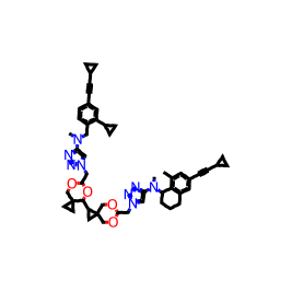 Cc1cc(C#CC2CC2)cc2c1C(N(C)c1cn(CC3OCC4(CO3)CC4C3OC(Cn4cc(N(C)Cc5ccc(C#CC6CC6)cc5C5CC5)nn4)OCC34CC4)nn1)CCC2